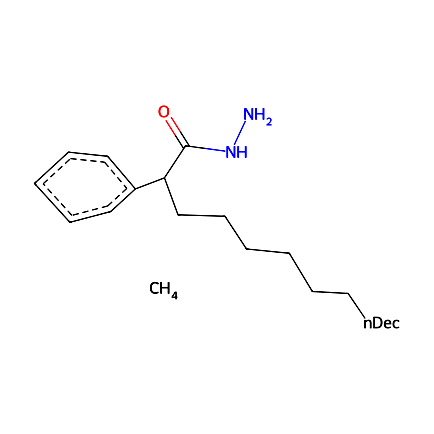 C.CCCCCCCCCCCCCCCCC(C(=O)NN)c1ccccc1